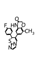 Cc1cc(C2=Cn3ccnc3SC2c2ccc(F)cc2)cc2c1OCC(=O)N2